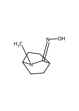 CN1C(=NO)C2CCC1CC2